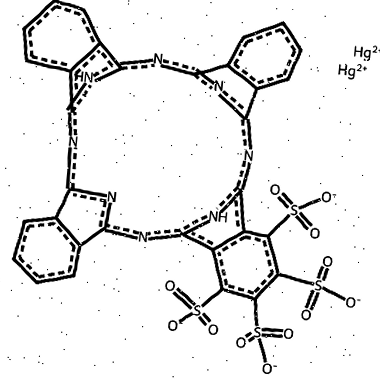 O=S(=O)([O-])c1c(S(=O)(=O)[O-])c(S(=O)(=O)[O-])c2c3nc4nc(nc5[nH]c(nc6nc(nc([nH]3)c2c1S(=O)(=O)[O-])-c1ccccc1-6)c1ccccc51)-c1ccccc1-4.[Hg+2].[Hg+2]